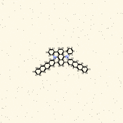 c1ccc(N(c2ccc3cc4cc5ccccc5cc4cc3c2)c2c3ccccc3c(N(c3ccccc3)c3ccc4cc5cc6ccccc6cc5cc4c3)c3ccccc23)cc1